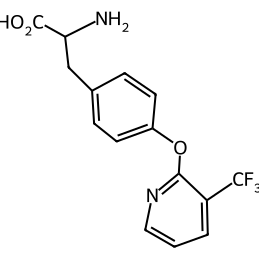 NC(Cc1ccc(Oc2ncccc2C(F)(F)F)cc1)C(=O)O